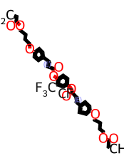 C=CC(=O)OCCCCOc1ccc(/C=C/C(=O)Oc2ccc(OC(=O)/C=C/c3ccc(OCCCCOC(=O)C=C)cc3)c(C(F)(F)F)c2C(F)(F)F)cc1